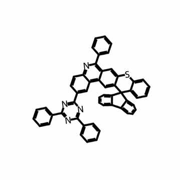 c1ccc(-c2nc(-c3ccccc3)nc(-c3ccc4nc(-c5ccccc5)c5cc6c(cc5c4c3)C3(c4ccccc4S6)c4ccccc4-c4ccccc43)n2)cc1